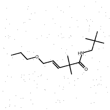 CCCOC/C=C/C(C)(C)C(=O)NCC(C)(C)C